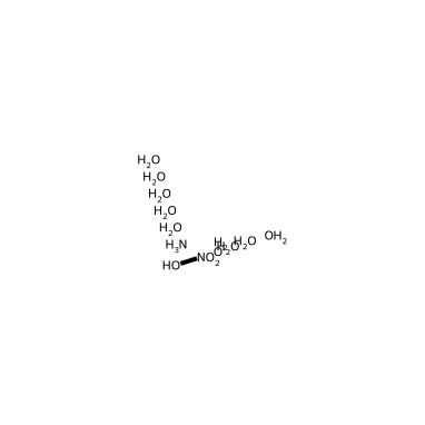 N.O.O.O.O.O.O.O.O.O.O=[N+]([O-])O